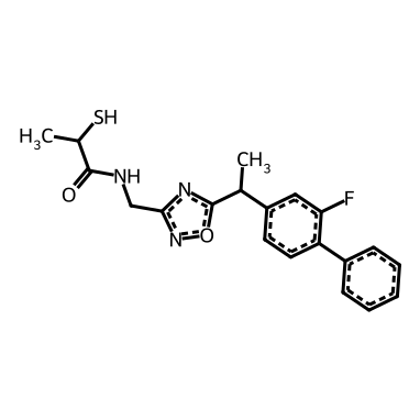 CC(S)C(=O)NCc1noc(C(C)c2ccc(-c3ccccc3)c(F)c2)n1